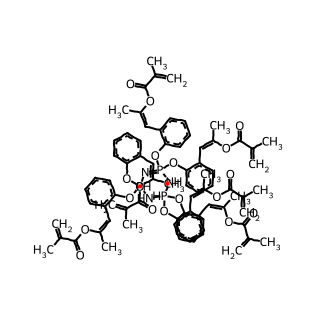 C=C(C)C(=O)OC(C)=Cc1ccccc1OP1(Oc2ccccc2C=C(C)OC(=O)C(=C)C)=N[PH](Oc2ccccc2C=C(C)OC(=O)C(=C)C)(Oc2ccccc2C=C(C)OC(=O)C(=C)C)N[PH](Oc2ccccc2C=C(C)OC(=O)C(=C)C)(Oc2ccccc2C=C(C)OC(=O)C(=C)C)N1